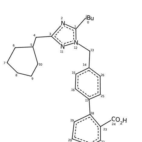 CCC(C)c1nc(CC2CCCCC2)nn1Cc1ccc(-c2ccccc2C(=O)O)cc1